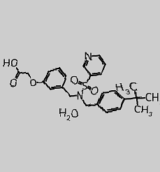 CC(C)(C)c1ccc(CN(Cc2cccc(OCC(=O)O)c2)S(=O)(=O)c2cccnc2)cc1.O